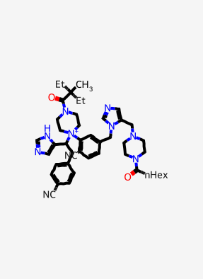 CCCCCCC(=O)N1CCN(Cc2cncn2Cc2ccc(C#N)c([N+]3(C(Cc4ccc(C#N)cc4)c4cnc[nH]4)CCN(C(=O)C(C)(CC)CC)CC3)c2)CC1